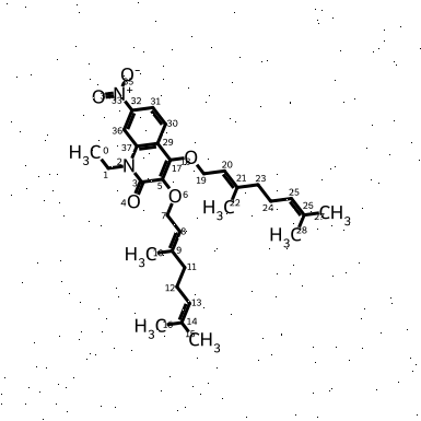 CCn1c(=O)c(OC/C=C(\C)CCC=C(C)C)c(OC/C=C(\C)CCC=C(C)C)c2ccc([N+](=O)[O-])cc21